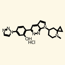 CN1CCC(n2ccc3cc(-c4ccc(-n5ccnn5)cc4O)nnc32)CC12CC2.Cl